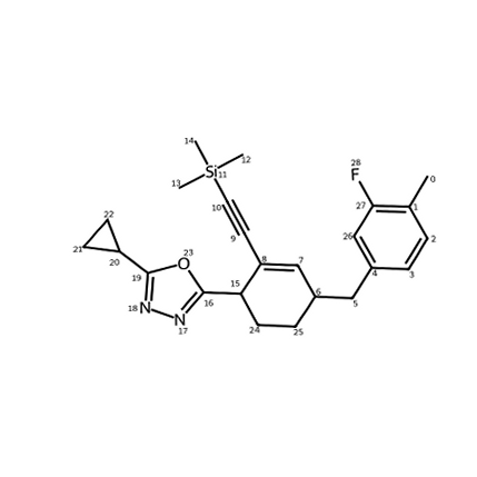 Cc1ccc(CC2C=C(C#C[Si](C)(C)C)C(c3nnc(C4CC4)o3)CC2)cc1F